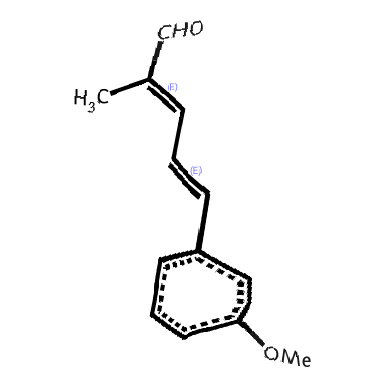 COc1cccc(/C=C/C=C(\C)C=O)c1